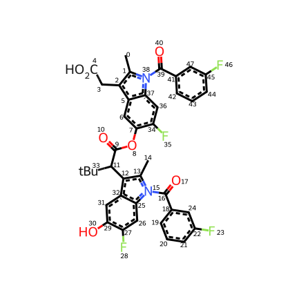 Cc1c(CC(=O)O)c2cc(OC(=O)C(c3c(C)n(C(=O)c4cccc(F)c4)c4cc(F)c(O)cc34)C(C)(C)C)c(F)cc2n1C(=O)c1cccc(F)c1